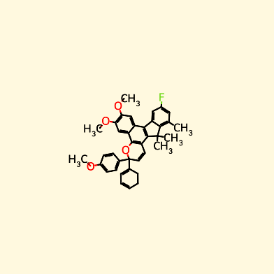 COc1ccc(C2(C3=CC=CCC3)C=Cc3c4c(c5cc(OC)c(OC)cc5c3O2)-c2cc(F)cc(C)c2C4(C)C)cc1